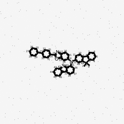 CC1(C)c2ccccc2-c2ccc(N(c3ccc4nc(-c5ccc(-c6ccccc6)cc5)oc4c3)c3cccc4c3sc3ccccc34)cc21